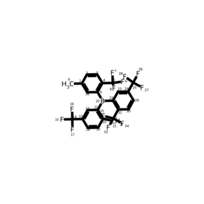 Cc1ccc(C(F)(F)F)c(B(c2cc(C(F)(F)F)ccc2C)c2cc(C(F)(F)F)ccc2C(F)(F)F)c1